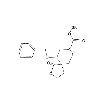 CC(C)(C)OC(=O)N1CCC2(CCOC2=O)C(OCc2ccccc2)C1